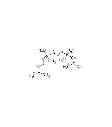 CC(C)OCCC(C)(C)OCCC(C)(C)OC(C)C